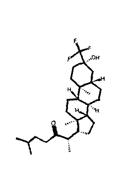 CC(C)CCC(=O)[C@@H](C)[C@H]1CC[C@H]2[C@@H]3CC[C@H]4C[C@](O)(C(F)(F)F)CC[C@]4(C)[C@H]3CC[C@]12C